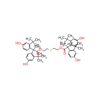 CC(C)(C)c1cc(O)ccc1C(C)(C(=O)OCCSCCOC(=O)C(C)(c1ccc(O)cc1C(C)(C)C)c1ccc(O)cc1C(C)(C)C)c1ccc(O)cc1C(C)(C)C